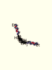 C=C1N=C(NC(=O)CC/C=C\C/C=C\C/C=C\C/C=C\C/C=C\C/C=C\CC)C=CN1C(C)O[C@@H](C)COC(=O)CC/C=C\C/C=C\C/C=C\C/C=C\C/C=C\C/C=C\CC